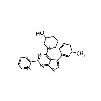 CC1C=C(c2csc3nc(-c4ccccn4)nc(N4CCCC(O)C4)c23)C=CC1